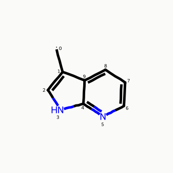 [CH2]c1c[nH]c2ncccc12